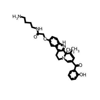 CC1=CC(C(=O)c2ccccc2O)=CN2CCc3c([nH]c4ccc(OCC(=O)NCCCCN)cc34)[C@]12C